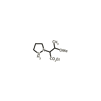 CCOC(=O)C(C(C)OC)N1CCC[SiH2]1